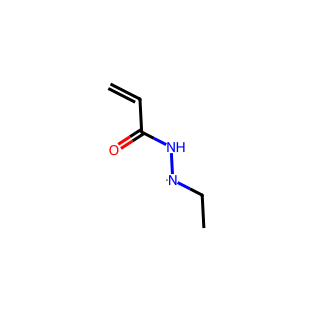 C=CC(=O)N[N]CC